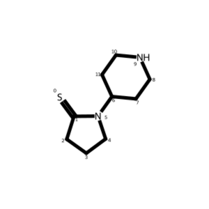 S=C1CCCN1C1CCNCC1